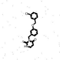 O=c1cc[nH]c(=S)n1Cc1cccc(OCc2cccc(Cl)c2)c1